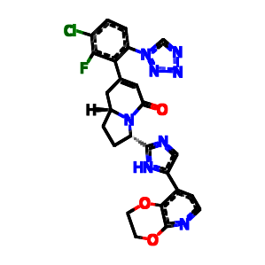 O=C1C=C(c2c(-n3cnnn3)ccc(Cl)c2F)C[C@H]2CC[C@@H](c3ncc(-c4ccnc5c4OCCO5)[nH]3)N12